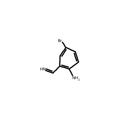 N=Cc1cc(Br)ccc1N